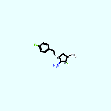 C[C@@H]1C[C@@H](CCc2ccc(F)cc2)C(N)[C@@H]1F